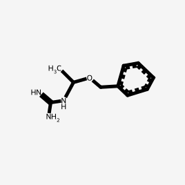 CC(NC(=N)N)OCc1ccccc1